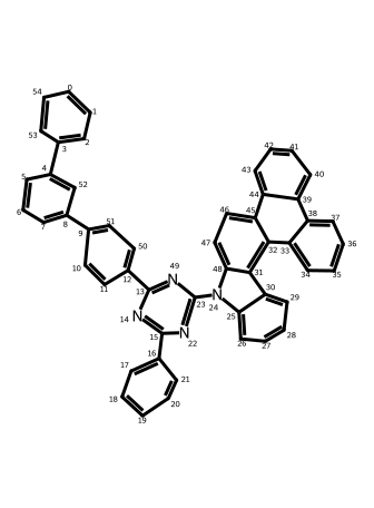 c1ccc(-c2cccc(-c3ccc(-c4nc(-c5ccccc5)nc(-n5c6ccccc6c6c7c8ccccc8c8ccccc8c7ccc65)n4)cc3)c2)cc1